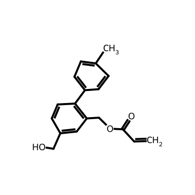 C=CC(=O)OCc1cc(CO)ccc1-c1ccc(C)cc1